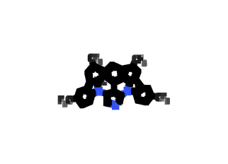 N#Cc1ccccc1-c1c(-n2c3ccc(C(F)(F)F)cc3c3cc(C(F)(F)F)ccc32)cncc1-n1c2ccc(C(F)(F)F)cc2c2cc(C(F)(F)F)ccc21